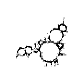 COC1(CN2CCN3CCN(C)C[C@H]3C2)/C=C/C[C@H](C)[C@@H](C)S(=O)(=O)NC(=O)c2ccc3c(c2)N(CCCCc2cc(Cl)ccc2CO3)C[C@@H]2CC[C@H]21